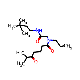 CCCN(CC(=O)NCCC(C)(C)C)C(=O)CCCC(=O)C(C)C